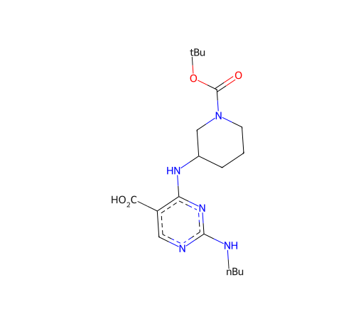 CCCCNc1ncc(C(=O)O)c(NC2CCCN(C(=O)OC(C)(C)C)C2)n1